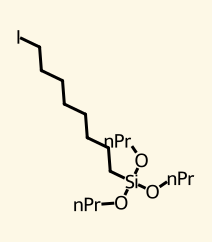 CCCO[Si](CCCCCCCCI)(OCCC)OCCC